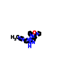 CN1CCN(c2ccc(Nc3ncc4cc(C(=O)N5CCCC5)n(N5CCCCC5)c4n3)nc2)CC1